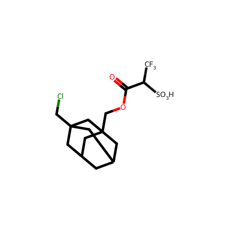 O=C(OCC12CC3CC(CC(CCl)(C3)C1)C2)C(C(F)(F)F)S(=O)(=O)O